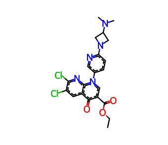 CCOC(=O)c1cn(-c2ccc(N3CC(N(C)C)C3)nc2)c2nc(Cl)c(Cl)cc2c1=O